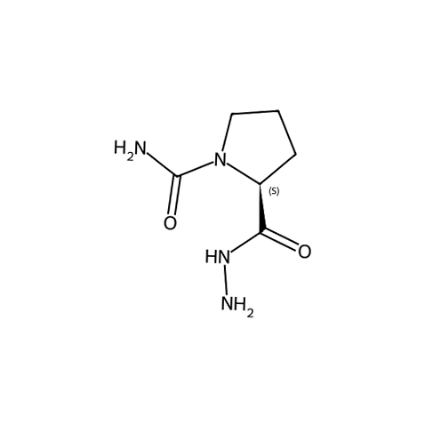 NNC(=O)[C@@H]1CCCN1C(N)=O